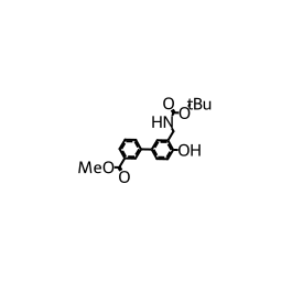 COC(=O)c1cccc(-c2ccc(O)c(CNC(=O)OC(C)(C)C)c2)c1